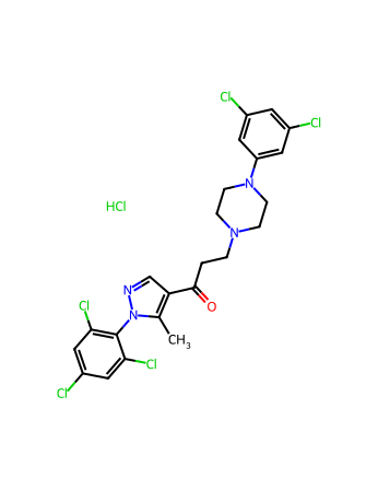 Cc1c(C(=O)CCN2CCN(c3cc(Cl)cc(Cl)c3)CC2)cnn1-c1c(Cl)cc(Cl)cc1Cl.Cl